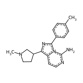 Cc1ccc(-c2nc(C3CCN(C)C3)c3ccnc(N)n23)cc1